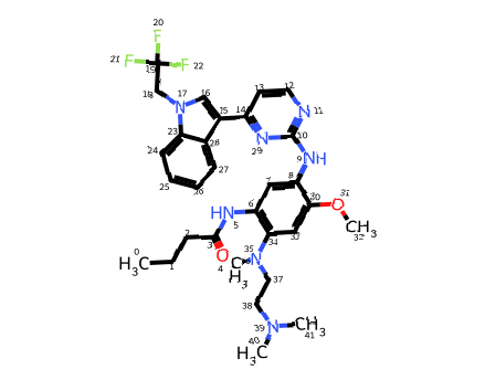 CCCC(=O)Nc1cc(Nc2nccc(-c3cn(CC(F)(F)F)c4ccccc34)n2)c(OC)cc1N(C)CCN(C)C